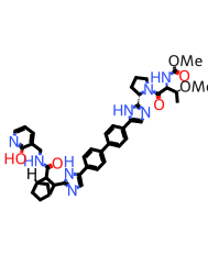 COC(=O)N[C@H](C(=O)N1CCC[C@H]1c1ncc(-c2ccc(-c3ccc(-c4cnc(C5C6CC[C@@H](C6)C5C(=O)NCc5cccnc5O)[nH]4)cc3)cc2)[nH]1)[C@@H](C)OC